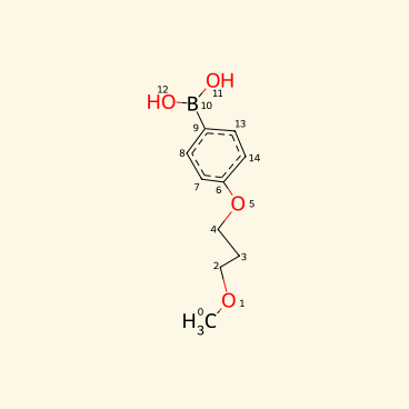 COCCCOc1ccc(B(O)O)cc1